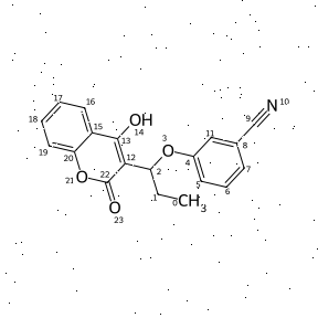 CCC(Oc1cccc(C#N)c1)c1c(O)c2ccccc2oc1=O